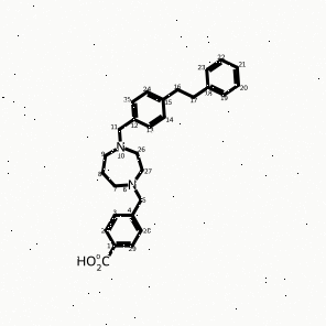 O=C(O)c1ccc(CN2CCCN(Cc3ccc(CCc4ccccc4)cc3)CC2)cc1